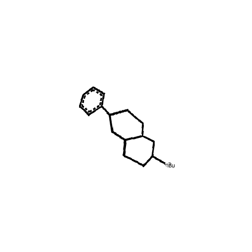 CCCCC1CCC2CC(c3ccccc3)CCC2C1